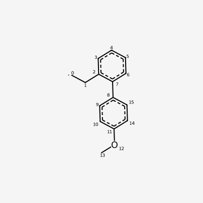 [CH2]Cc1ccccc1-c1ccc(OC)cc1